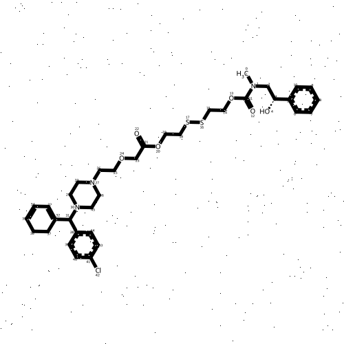 CN(C[C@@H](O)c1ccccc1)C(=O)OCCSSCCOC(=O)COCCN1CCN(C(C2=CC=CCC2)c2ccc(Cl)cc2)CC1